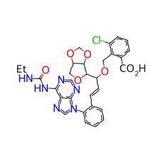 CCNC(=O)Nc1ncnc2c1ncn2-c1ccccc1C=CC(OCc1c(Cl)cccc1C(=O)O)C1OCC2OCOC21